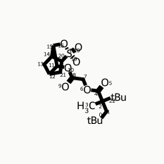 CC(C)(C)CC(C)(C(=O)OCC(=O)OC1C2CC3C1OS(=O)(=O)C3C2)C(C)(C)C